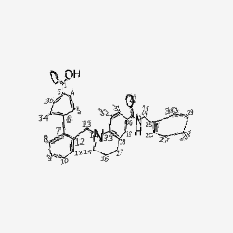 O=C(O)c1ccc(-c2ccccc2CN2CCCc3cc(C(=O)NCC4=CCCC=C4)ccc32)cc1